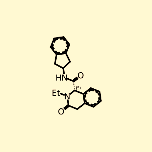 CCN1C(=O)Cc2ccccc2[C@H]1C(=O)NC1Cc2ccccc2C1